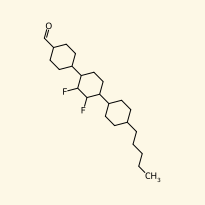 CCCCCC1CCC(C2CCC(C3CCC(C=O)CC3)C(F)C2F)CC1